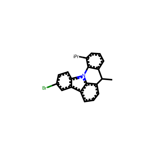 CC(C)c1cccc2c1-n1c3ccc(Br)cc3c3cccc(c31)C2C